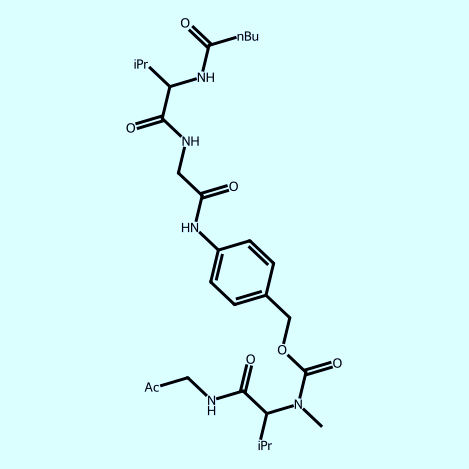 CCCCC(=O)NC(C(=O)NCC(=O)Nc1ccc(COC(=O)N(C)C(C(=O)NCC(C)=O)C(C)C)cc1)C(C)C